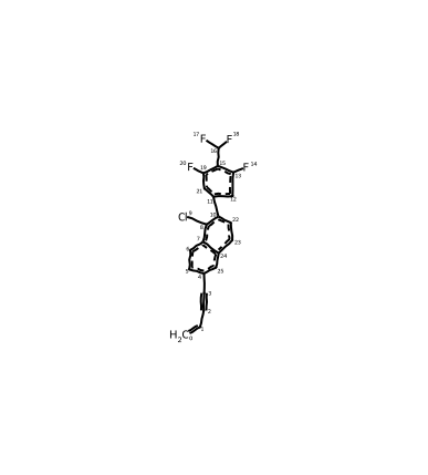 C=CC#Cc1ccc2c(Cl)c(-c3cc(F)c(C(F)F)c(F)c3)ccc2c1